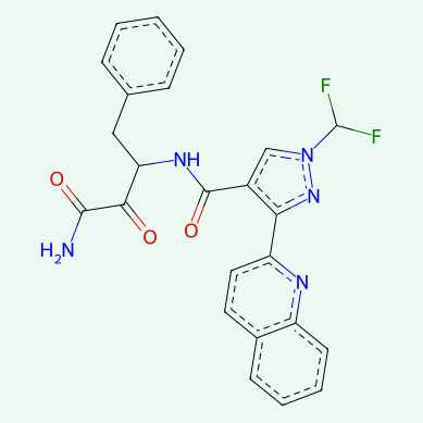 NC(=O)C(=O)C(Cc1ccccc1)NC(=O)c1cn(C(F)F)nc1-c1ccc2ccccc2n1